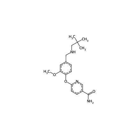 COc1cc(CNCC(C)(C)C)ccc1Oc1ccc(C(N)=O)cn1